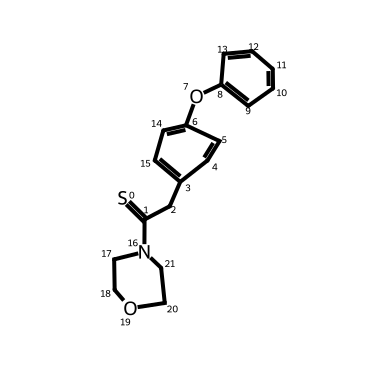 S=C(Cc1ccc(Oc2ccccc2)cc1)N1CCOCC1